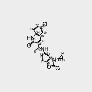 C[C@H](Nc1cc2c(cn1)oc(=O)n2C1CC1)c1cc2cc(Cl)ccc2[nH]c1=O